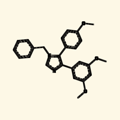 COc1ccc(-c2c(-c3cc(OC)cc(OC)c3)ncn2Cc2ccccc2)cc1